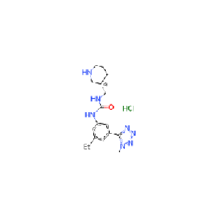 CCc1cc(NC(=O)NC[C@H]2CCCNC2)cc(-c2nnnn2C)c1.Cl